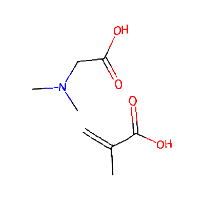 C=C(C)C(=O)O.CN(C)CC(=O)O